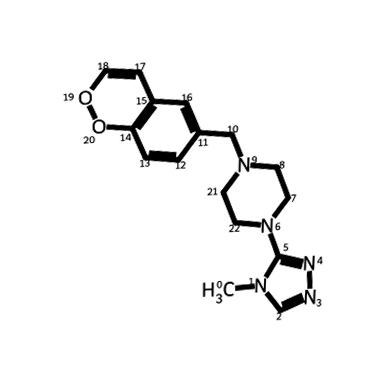 Cn1cnnc1N1CCN(Cc2ccc3c(c2)C=COO3)CC1